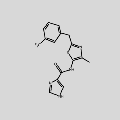 Cc1nc(Cc2cccc(C(F)(F)F)c2)sc1NC(=O)c1c[nH]cn1